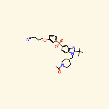 CC(=O)N1CCC(Cn2c(C(C)(C)C)nc3cc(S(=O)(=O)c4cccc(OCCCC#N)c4)ccc32)CC1